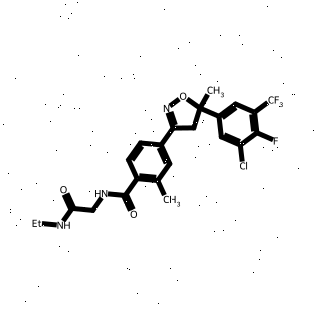 CCNC(=O)CNC(=O)c1ccc(C2=NOC(C)(c3cc(Cl)c(F)c(C(F)(F)F)c3)C2)cc1C